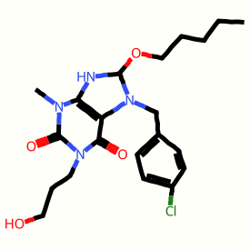 CCCCCOC1Nc2c(c(=O)n(CCCO)c(=O)n2C)N1Cc1ccc(Cl)cc1